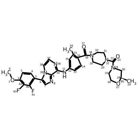 COc1ccc(-c2cnc3c(Nc4ccc(C(=O)N5CCN(C(=O)N6CCO[C@H](C)C6)CC5)c(C)c4)nccn23)c(F)c1F